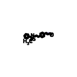 Cc1sc(CCc2ccc(/C=C/C=O)cc2)nc1-c1ccccc1